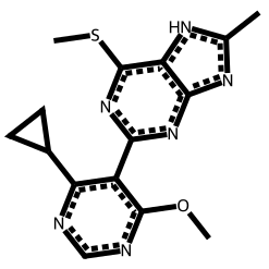 COc1ncnc(C2CC2)c1-c1nc(SC)c2[nH]c(C)nc2n1